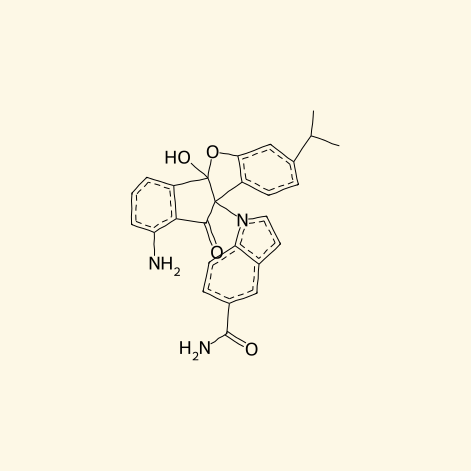 CC(C)c1ccc2c(c1)OC1(O)c3cccc(N)c3C(=O)C21n1ccc2cc(C(N)=O)ccc21